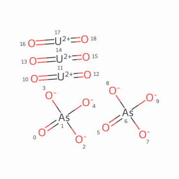 O=[As]([O-])([O-])[O-].O=[As]([O-])([O-])[O-].[O]=[U+2]=[O].[O]=[U+2]=[O].[O]=[U+2]=[O]